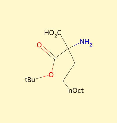 CCCCCCCCCCC(N)(C(=O)O)C(=O)OC(C)(C)C